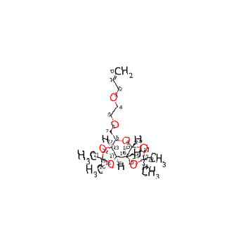 C=CCOCCOC[C@H]1O[C@@H]2OC(C)(C)O[C@@H]2[C@H]2OC(C)(C)O[C@H]21